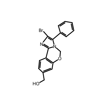 OCc1ccc2c(c1)OCn1c-2nc(Br)c1-c1ccccc1